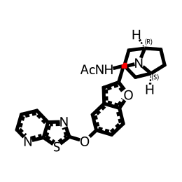 CC(=O)NC1C[C@H]2CC[C@@H](C1)N2Cc1cc2cc(Oc3nc4cccnc4s3)ccc2o1